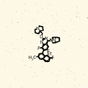 CCc1c(F)ccc2cc(C)cc(-c3c(F)cc4c(N5CC6CCC(C5)N6)nc(OCC56CCCN5CCC6)nc4c3F)c12